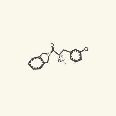 N[C@H](Cc1cccc(Cl)c1)C(=O)N1Cc2ccccc2C1